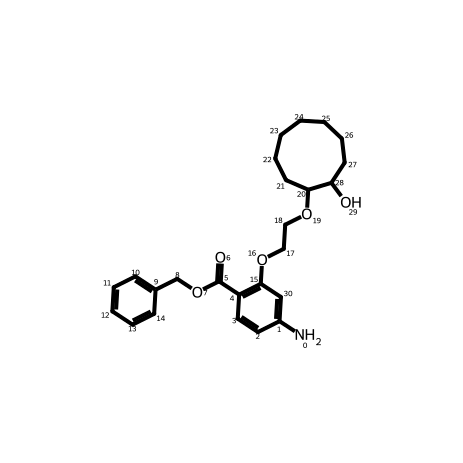 Nc1ccc(C(=O)OCc2ccccc2)c(OCCOC2CCCCCCCC2O)c1